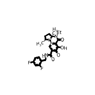 CCN1C(=O)c2c(O)c(=O)c(C(=O)NCc3ccc(F)cc3F)cn2N2[C@H](C)CC[C@@]12C